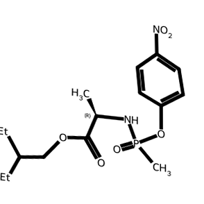 CCC(CC)COC(=O)[C@@H](C)NP(C)(=O)Oc1ccc([N+](=O)[O-])cc1